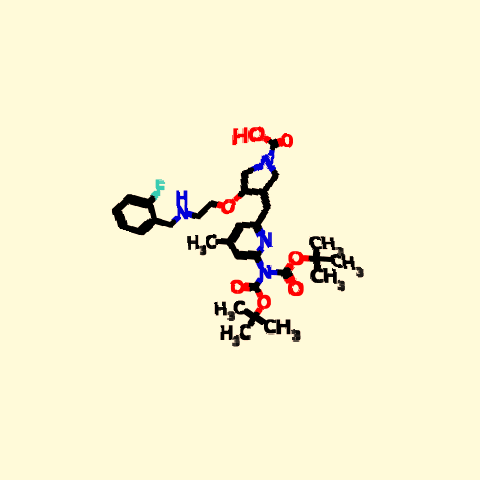 Cc1cc(CC2CN(C(=O)O)CC2OCCNCc2ccccc2F)nc(N(C(=O)OC(C)(C)C)C(=O)OC(C)(C)C)c1